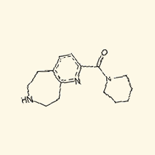 O=C(c1ccc2c(n1)CCNCC2)N1CCCCC1